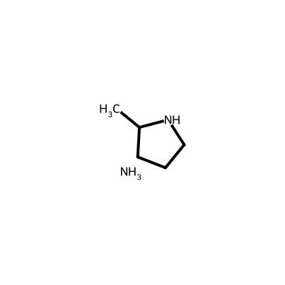 CC1CCCN1.N